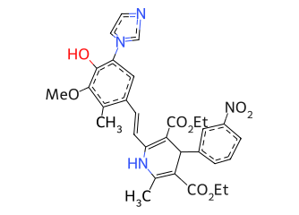 CCOC(=O)C1=C(C)NC(C=Cc2cc(-n3ccnc3)c(O)c(OC)c2C)=C(C(=O)OCC)C1c1cccc([N+](=O)[O-])c1